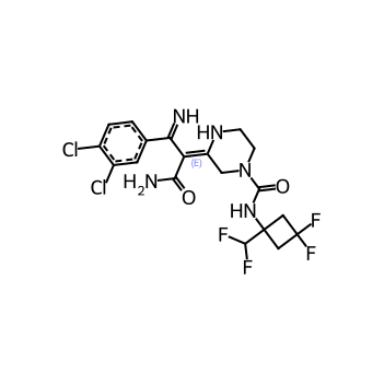 N=C(/C(C(N)=O)=C1/CN(C(=O)NC2(C(F)F)CC(F)(F)C2)CCN1)c1ccc(Cl)c(Cl)c1